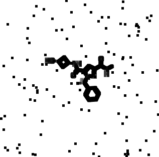 CNC(=O)c1cc(C(=O)N[C@H]2C[C@@H](O)C2)n([C@@H](C)c2ccccc2)n1